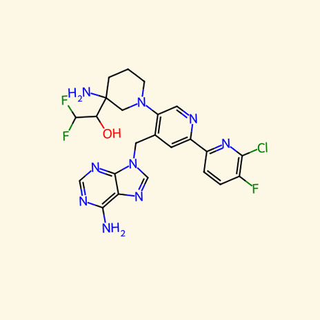 Nc1ncnc2c1ncn2Cc1cc(-c2ccc(F)c(Cl)n2)ncc1N1CCCC(N)(C(O)C(F)F)C1